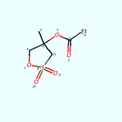 CCC(=O)OC1(C)COS(=O)(=O)C1